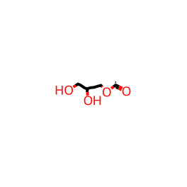 O=[C]OCC(O)CO